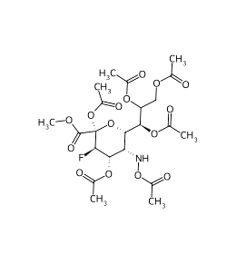 COC(=O)[C@@]1(OC(C)=O)O[C@H]([C@H](OC(C)=O)C(COC(C)=O)OC(C)=O)[C@H](NOC(C)=O)[C@H](OC(C)=O)[C@H]1F